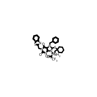 Cn1c2c(c(=O)n(Cc3nc4ccccc4s3)c1=O)N(Cc1ccccc1)C(SC1(CN)CCCCC1)N2OC(=O)C(F)(F)F